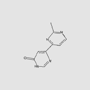 Cc1nccc(-c2cc(=O)[nH]cn2)n1